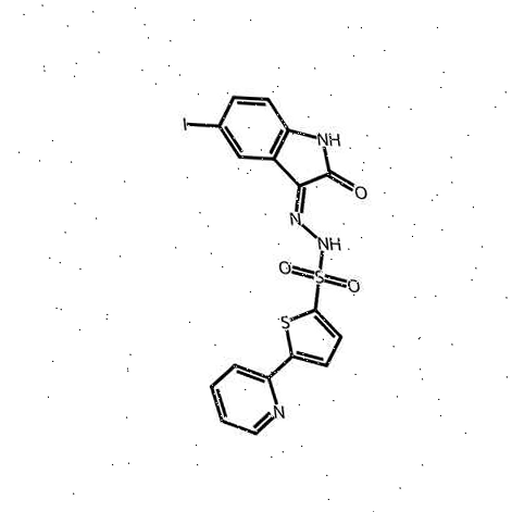 O=C1Nc2ccc(I)cc2C1=NNS(=O)(=O)c1ccc(-c2ccccn2)s1